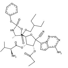 CCC(=O)O[C@@H]1[C@H](OC(=O)[C@@H](N)C(C)C)[C@@H](COP(=O)(N[C@@H](C)C(=O)OCC(CC)CC)Oc2ccccc2)OC1(C#N)c1ccc2c(N)ncnn12